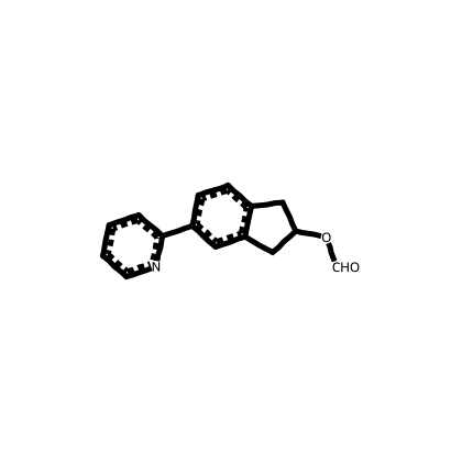 O=COC1Cc2ccc(-c3ccccn3)cc2C1